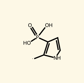 [CH2]c1[nH]ccc1P(=O)(O)O